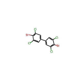 Clc1cc(-c2cc(Cl)c(Br)c(Cl)c2)cc(Cl)c1Br